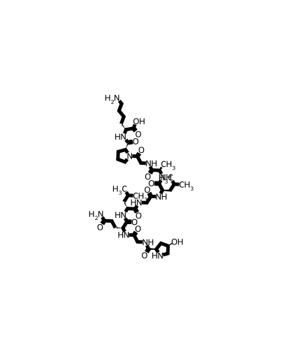 CC(C)C[C@@H](NC(=O)CNC(=O)[C@@H](CC(C)C)NC(=O)[C@@H](CCC(N)=O)NC(=O)CNC(=O)[C@H]1C[C@H](O)CN1)C(=O)N[C@H](C)C(=O)NCC(=O)N1CCC[C@@H]1C(=O)N[C@H](CCCCN)C(=O)O